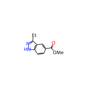 CCc1n[nH]c2ccc(C(=O)OC)cc12